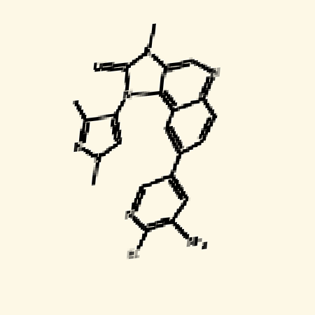 CCc1ncc(-c2ccc3ncc4c(c3c2)n(-c2cn(C)nc2C)c(=O)n4C)cc1N